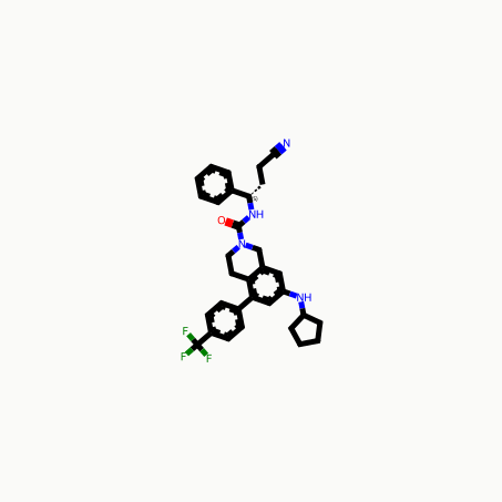 N#CCC[C@H](NC(=O)N1CCc2c(cc(NC3CCCC3)cc2-c2ccc(C(F)(F)F)cc2)C1)c1ccccc1